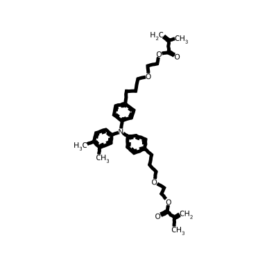 C=C(C)C(=O)OCCOCCCc1ccc(N(c2ccc(CCCOCCOC(=O)C(=C)C)cc2)c2ccc(C)c(C)c2)cc1